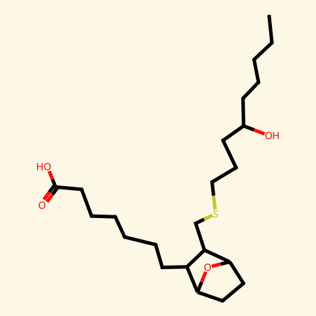 CCCCCC(O)CCCSCC1C2CCC(O2)C1CCCCCCC(=O)O